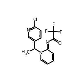 CC(c1ccc(Cl)nc1)n1ccccc1=NC(=O)C(F)(F)F